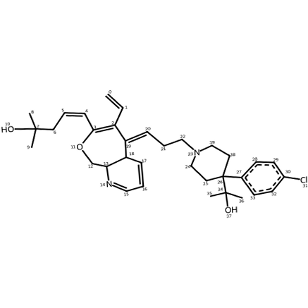 C=CC1=C(/C=C\CC(C)(C)O)OCC2N=CC=CC2/C1=C\CCN1CCC(c2ccc(Cl)cc2)(C(C)(C)O)CC1